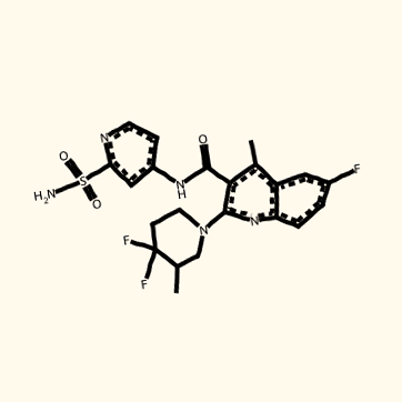 Cc1c(C(=O)Nc2ccnc(S(N)(=O)=O)c2)c(N2CCC(F)(F)C(C)C2)nc2ccc(F)cc12